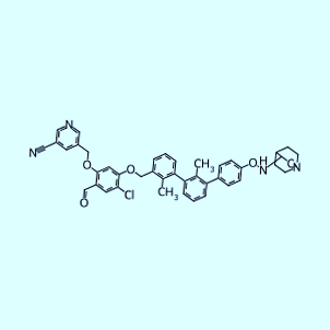 Cc1c(COc2cc(OCc3cncc(C#N)c3)c(C=O)cc2Cl)cccc1-c1cccc(-c2ccc(ONC3CN4CCC3CC4)cc2)c1C